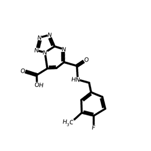 Cc1cc(CNC(=O)c2cc(C(=O)O)n3nnnc3n2)ccc1F